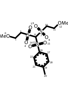 COCCS(=O)(=O)C(S(=O)(=O)CCOC)S(=O)(=O)c1ccc(C)cc1